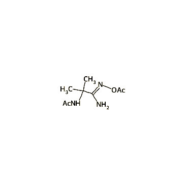 CC(=O)NC(C)(C)/C(N)=N/OC(C)=O